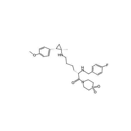 COc1ccc([C@@H]2C[C@@]2(C)NCCCC[C@H](NCc2ccc(F)cc2)C(=O)N2CCS(=O)(=O)CC2)cc1